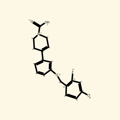 O=C(O)N1CC=C(c2cccc(OCc3ccc(Cl)cc3F)c2)CC1